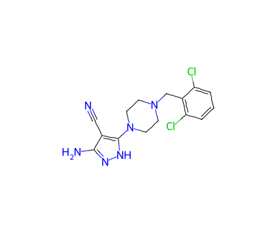 N#Cc1c(N)n[nH]c1N1CCN(Cc2c(Cl)cccc2Cl)CC1